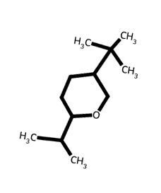 CC(C)C1CCC(C(C)(C)C)CO1